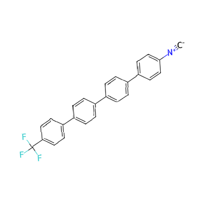 [C-]#[N+]c1ccc(-c2ccc(-c3ccc(-c4ccc(C(F)(F)F)cc4)cc3)cc2)cc1